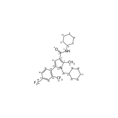 Cc1c(C(=O)NC2CCCCC2)cc(-c2ccc(C(F)(F)F)cc2C(F)(F)F)n1CC1CCCCC1